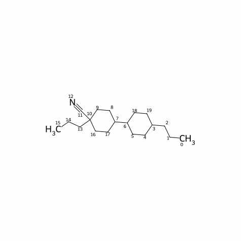 CCCC1CCC(C2CCC(C#N)(CCC)CC2)CC1